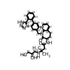 CC(C)(CC(=O)N[C@@H]1CCc2cccnc2N(Cc2ccc(-c3ccccc3-c3nnn[nH]3)cc2)C1=O)NC[C@H](O)CO